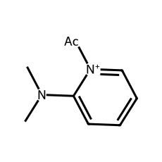 CC(=O)[n+]1ccccc1N(C)C